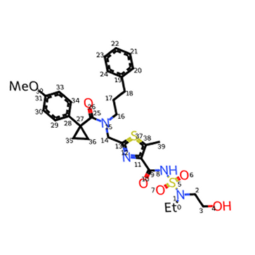 CCN(CCO)S(=O)(=O)NC(=O)c1nc(CN(CCCc2ccccc2)C(=O)C2(c3ccc(OC)cc3)CC2)sc1C